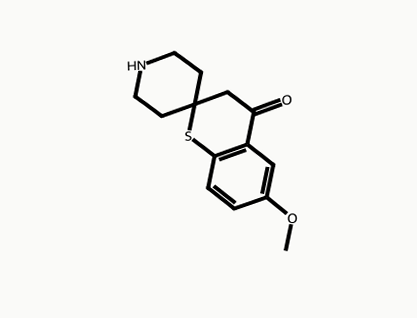 COc1ccc2c(c1)C(=O)CC1(CCNCC1)S2